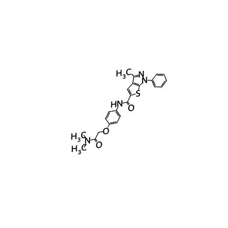 Cc1nn(-c2ccccc2)c2sc(C(=O)Nc3ccc(OCC(=O)N(C)C)cc3)cc12